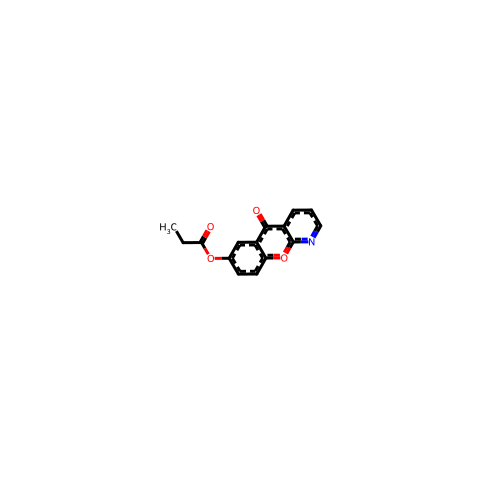 CCC(=O)Oc1ccc2oc3ncccc3c(=O)c2c1